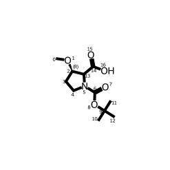 CO[C@@H]1CCN(C(=O)OC(C)(C)C)C1C(=O)O